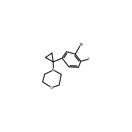 Fc1ccc(C2(N3CCOCC3)CC2)cc1Br